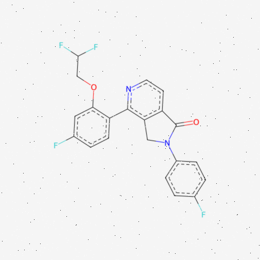 O=C1c2ccnc(-c3ccc(F)cc3OCC(F)F)c2CN1c1ccc(F)cc1